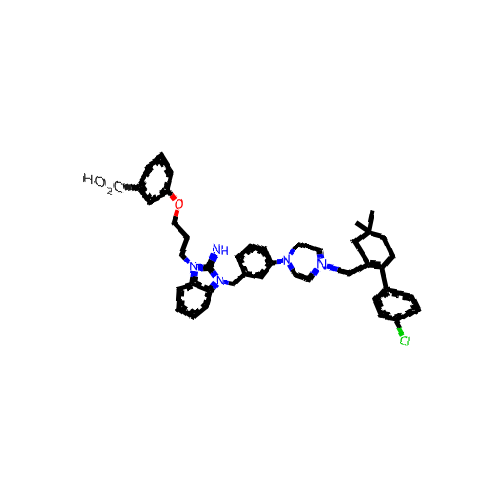 CC1(C)CCC(c2ccc(Cl)cc2)=C(CN2CCN(c3cccc(Cn4c(=N)n(CCCOc5cccc(C(=O)O)c5)c5ccccc54)c3)CC2)C1